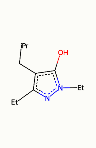 CCc1nn(CC)c(O)c1CC(C)C